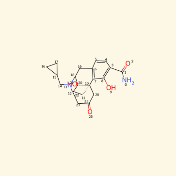 NC(=O)c1ccc2c(c1O)[C@]13CCN(CC4CC4)C(C2)[C@]1(O)CCC(=O)C3